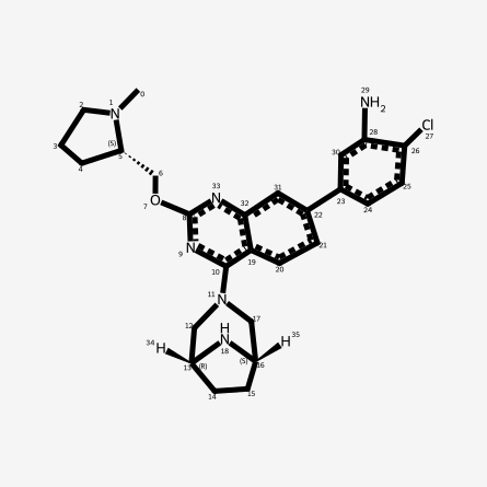 CN1CCC[C@H]1COc1nc(N2C[C@H]3CC[C@@H](C2)N3)c2ccc(-c3ccc(Cl)c(N)c3)cc2n1